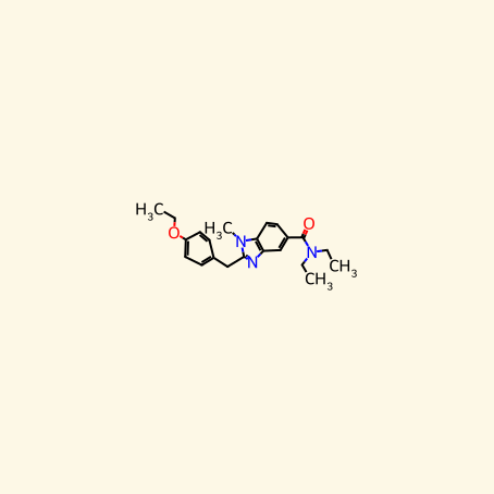 CCOc1ccc(Cc2nc3cc(C(=O)N(CC)CC)ccc3n2C)cc1